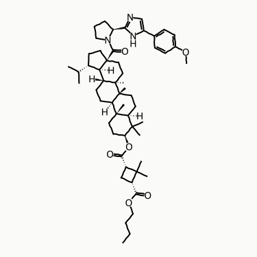 CCCCOC(=O)[C@@H]1C[C@H](C(=O)O[C@H]2CC[C@]3(C)[C@H]4CC[C@@H]5[C@H]6[C@H](C(C)C)CC[C@]6(C(=O)N6CCC[C@H]6c6ncc(-c7ccc(OC)cc7)[nH]6)CC[C@@]5(C)[C@]4(C)CC[C@H]3C2(C)C)C1(C)C